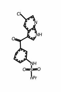 CCCS(=O)(=O)Nc1cccc(C(=O)c2c[nH]c3ncc(Cl)cc23)c1